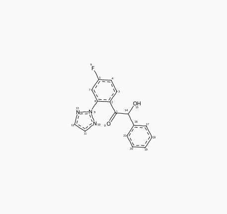 O=C(c1ccc(F)cc1-n1nccn1)C(O)c1ccccc1